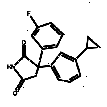 O=C1CC(c2cccc(F)c2)(c2cccc(C3CC3)c2)C(=O)N1